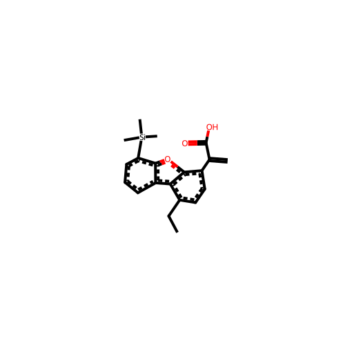 C=C(C(=O)O)c1ccc(CC)c2c1oc1c([Si](C)(C)C)cccc12